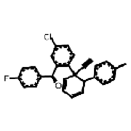 C#CC1(c2ccc(Cl)cc2C(=O)c2ccc(F)cc2)C=CC=CC1c1ccc(C)cc1